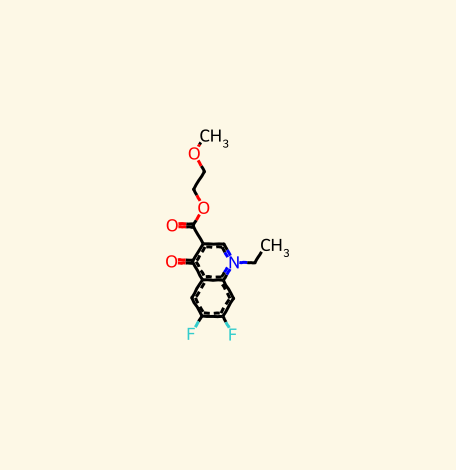 CCn1cc(C(=O)OCCOC)c(=O)c2cc(F)c(F)cc21